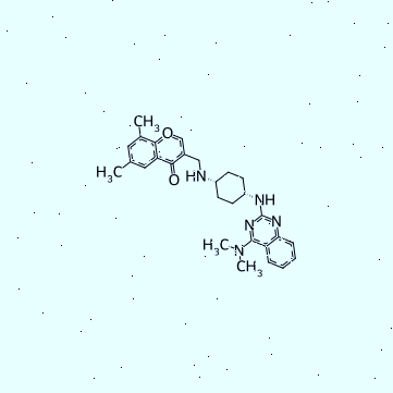 Cc1cc(C)c2occ(CN[C@H]3CC[C@@H](Nc4nc(N(C)C)c5ccccc5n4)CC3)c(=O)c2c1